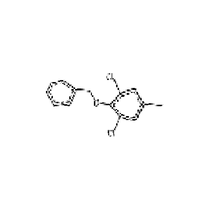 Cc1cc(Cl)c(OCc2ccccc2)c(Cl)c1